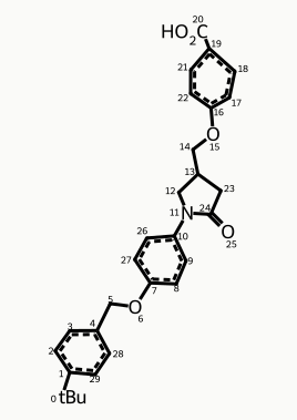 CC(C)(C)c1ccc(COc2ccc(N3CC(COc4ccc(C(=O)O)cc4)CC3=O)cc2)cc1